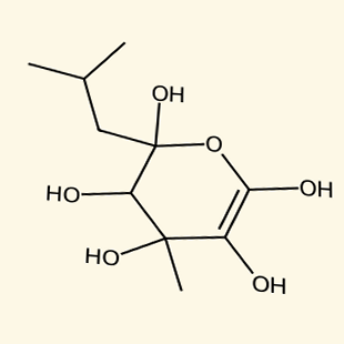 CC(C)CC1(O)OC(O)=C(O)C(C)(O)C1O